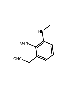 CBc1cccc(CC=O)c1NC